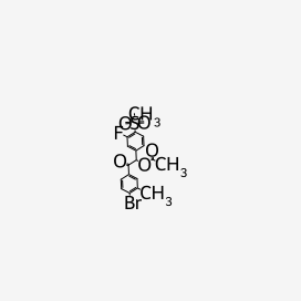 CC(=O)OC(C(=O)c1ccc(Br)c(C)c1)c1ccc(S(C)(=O)=O)c(F)c1